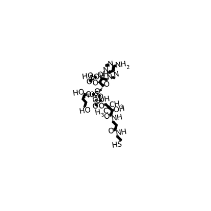 CC(C)(COP(=O)(O)OP(=O)(O)OC[C@H]1O[C@@H](n2cnc3c(N)ncnc32)[C@H](O)[C@@H]1OP(=O)(O)O)C(O)C(=O)NCCC(=O)NCCS.O=C(O)CCCO